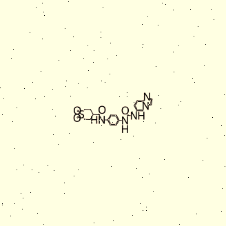 O=C(Nc1ccc(NC(=O)C2CCS(=O)(=O)CC2)cc1)Nc1ccc2nccn2c1